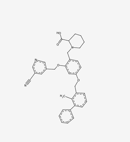 Cc1c(COc2ccc(CN3CCCCC3C(=O)O)c(OCc3cncc(C#N)c3)c2)cccc1-c1ccccc1